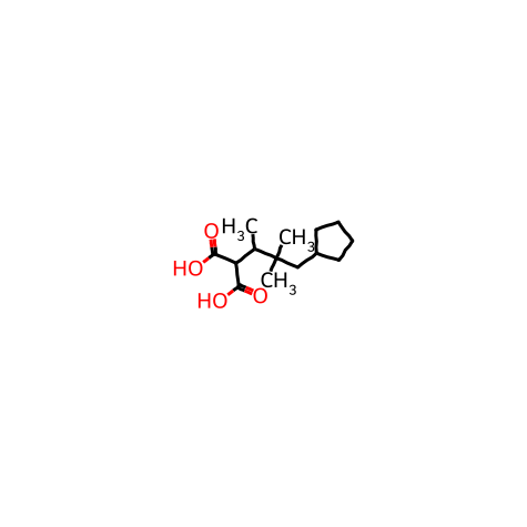 CC(C(C(=O)O)C(=O)O)C(C)(C)CC1CCCC1